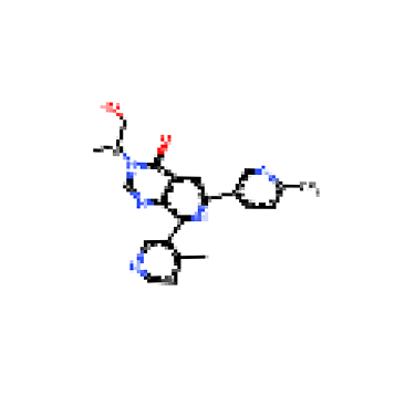 Cc1ccncc1-c1nc(-c2ccc(C(F)(F)F)nc2)cc2c(=O)n([C@@H](C)CO)cnc12